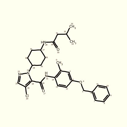 Cc1cc(OCc2ccccc2)ccc1NC(=O)c1c(Cl)cnn1C1CCC(NC(=O)CC(C)C)CC1